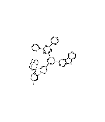 Cc1ccc2c(c1)-c1ccc(-c3cc(-c4ccc5sc6ccccc6c5c4)cc(-c4nc(-c5ccccc5)nc(-c5ccccc5)n4)c3)cc1C21C2CC3CC(C2)CC1C3